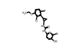 CCOc1ccc(F)c(C2CC2NC(=O)Nc2ccc(O)c(Br)n2)c1Cl